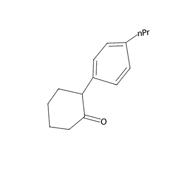 CCCc1ccc(C2CCCCC2=O)cc1